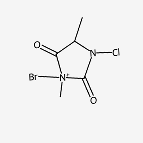 CC1C(=O)[N+](C)(Br)C(=O)N1Cl